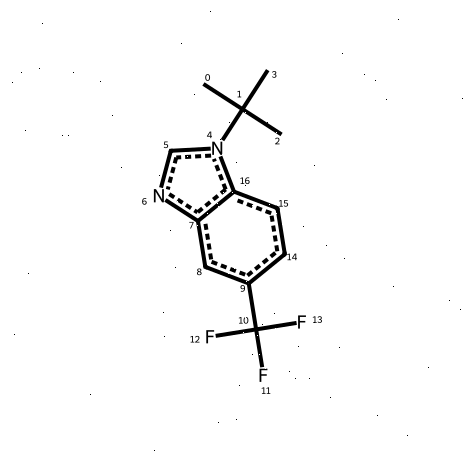 CC(C)(C)n1cnc2cc(C(F)(F)F)ccc21